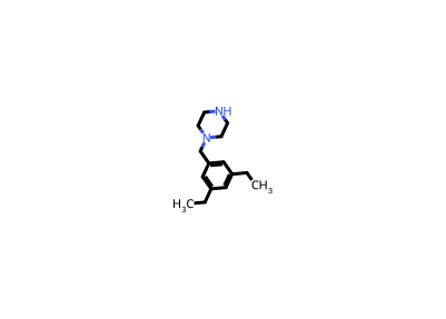 CCc1cc(CC)cc(CN2CCNCC2)c1